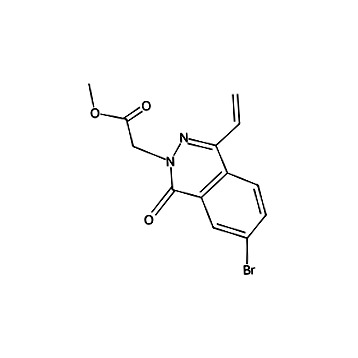 C=Cc1nn(CC(=O)OC)c(=O)c2cc(Br)ccc12